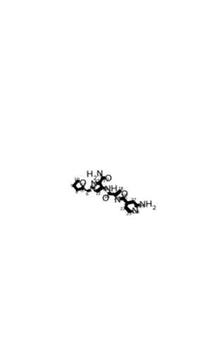 NC(=O)c1nn(C[C@H]2CCCO2)cc1NC(=O)c1coc(-c2ccnc(N)c2)n1